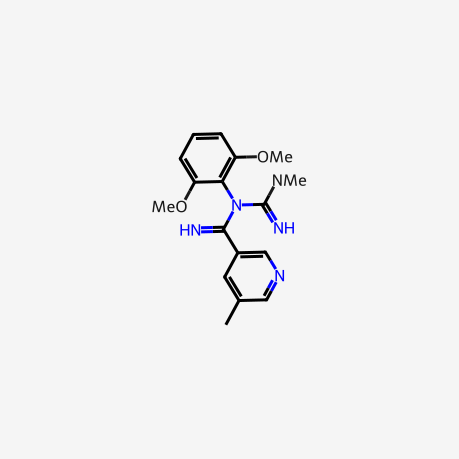 CNC(=N)N(C(=N)c1cncc(C)c1)c1c(OC)cccc1OC